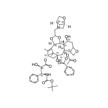 CC(=O)O[C@@]12COC1C[C@H](O)[C@@]1(C)[C@@H]3OC(CN4C[C@H]5C[C@@H]4CO5)O[C@@H]3C3=C(C)[C@@H](OC(=O)[C@H](O)[C@@H](NC(=O)OC(C)(C)C)c4ccccc4)C[C@@](O)([C@@H](OC(=O)c4ccccc4)[C@@H]12)C3(C)C